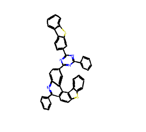 c1ccc(-c2nc(-c3ccc4c(c3)sc3ccccc34)nc(-c3ccc4nc(-c5ccccc5)c5ccc6sc7ccccc7c6c5c4c3)n2)cc1